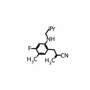 C=C(C#N)Cc1cc(C)c(F)cc1NCC(C)C